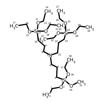 CCO[Si](CCCN(CCC[Si](OCC)(OCC)OCC)CCC[Si](OCC)(OCC)OCC)(OC)OCC